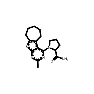 Cc1nc(N2CCCC2C(N)=O)c2c3c(sc2n1)CCCCC3